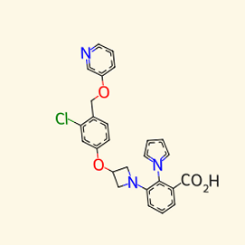 O=C(O)c1cccc(N2CC(Oc3ccc(COc4cccnc4)c(Cl)c3)C2)c1-n1cccc1